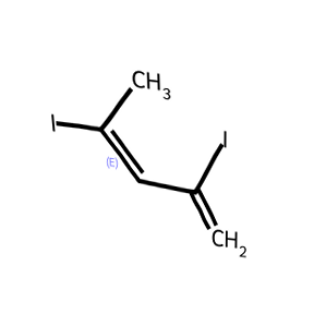 C=C(I)/C=C(\C)I